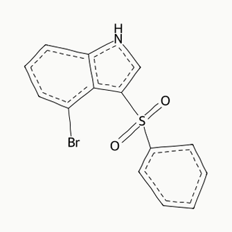 O=S(=O)(c1ccccc1)c1c[nH]c2cccc(Br)c12